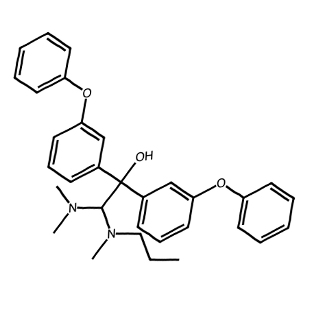 CCCN(C)C(N(C)C)C(O)(c1cccc(Oc2ccccc2)c1)c1cccc(Oc2ccccc2)c1